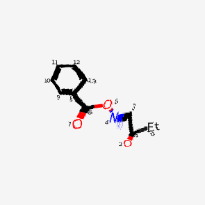 CCC(=O)/C=N/OC(=O)c1ccccc1